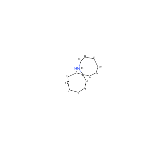 C1CCCC2(CCC1)CCCCCCN2